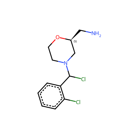 NC[C@H]1CN(C(Cl)c2ccccc2Cl)CCO1